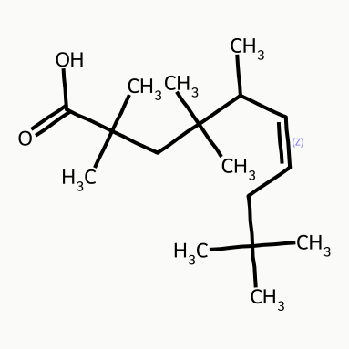 CC(/C=C\CC(C)(C)C)C(C)(C)CC(C)(C)C(=O)O